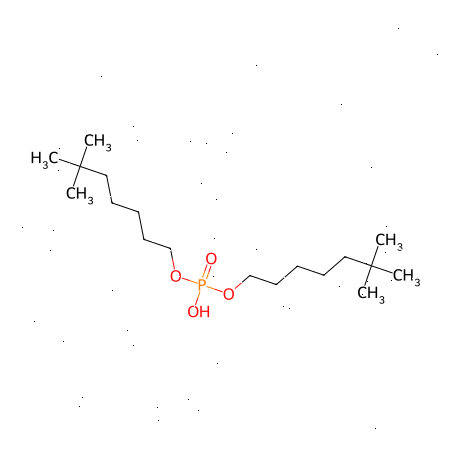 CC(C)(C)CCCCCOP(=O)(O)OCCCCCC(C)(C)C